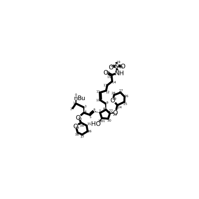 CCCC[C@H](C)C[C@@H](/C=C/[C@@H]1[C@@H](C/C=C\CCCC(=O)NS(C)(=O)=O)[C@@H](OC2CCCCO2)C[C@H]1O)OC1CCCCO1